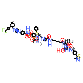 Cc1ncsc1-c1ccc([C@H](C)NC(=O)[C@@H]2C[C@@H](O)CN2C(=O)[C@@H](NC(=O)CCCCCCNC(=O)[C@H]2CCN(CC[C@H](CSc3ccccc3)Nc3ccc(S(=O)(=O)NC(=O)c4ccc(N5CCN(CC6=C(C78CC(C(F)F)(C7)C8)CC(C)(C)CC6)CC5)cc4)cc3S(=O)(=O)C(F)(F)F)C2)C(C)(C)C)cc1